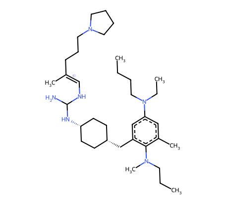 CCCCN(CC)c1cc(C)c(N(C)CCC)c(C[C@H]2CC[C@@H](NC(N)N/C=C(\C)CCCN3CCCC3)CC2)c1